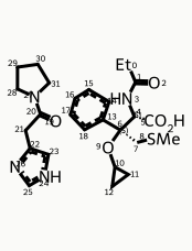 CCC(=O)N[C@H](C(=O)O)[C@@](CSC)(OC1CC1)c1ccccc1.O=C(Cc1c[nH]cn1)N1CCCC1